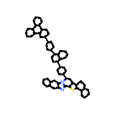 c1ccc2cc3c(cc2c1)nc1c2sc4c5ccccc5ccc4c2cc(-c2ccc(-c4ccc(-c5ccc(-c6ccc7c8ccccc8c8ccccc8c7c6)cc5)c5ccccc45)cc2)n31